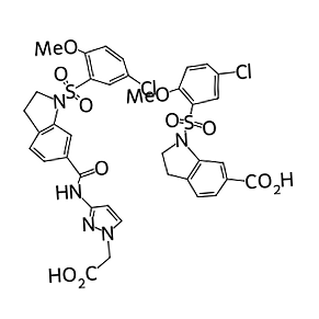 COc1ccc(Cl)cc1S(=O)(=O)N1CCc2ccc(C(=O)Nc3ccn(CC(=O)O)n3)cc21.COc1ccc(Cl)cc1S(=O)(=O)N1CCc2ccc(C(=O)O)cc21